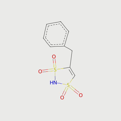 O=S1(=O)C=C(Cc2ccccc2)S(=O)(=O)N1